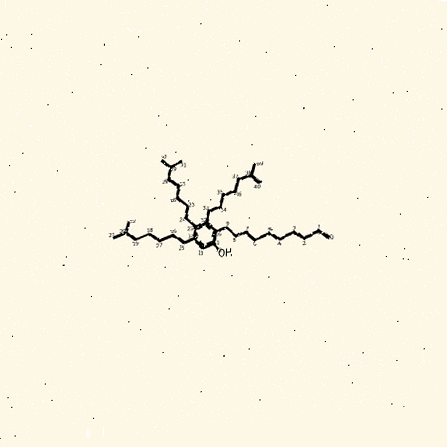 CCCCCCCCCCc1c(O)cc(CCCCCC(C)C)c(CCCCCC(C)C)c1CCCCCC(C)C